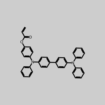 C=CC(=O)Oc1ccc(N(c2ccccc2)c2ccc(-c3ccc(N(c4ccccc4)c4ccccc4)cc3)cc2)cc1